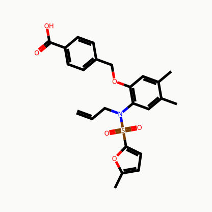 C=CCN(c1cc(C)c(C)cc1OCc1ccc(C(=O)O)cc1)S(=O)(=O)c1ccc(C)o1